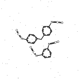 O=C=Nc1ccc(Cc2ccc(N=C=O)cc2)cc1.O=C=Nc1cccc(N=C=O)c1